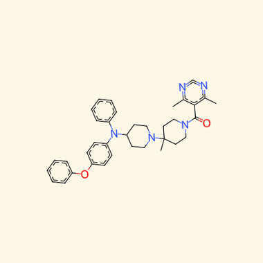 Cc1ncnc(C)c1C(=O)N1CCC(C)(N2CCC(N(c3ccccc3)c3ccc(Oc4ccccc4)cc3)CC2)CC1